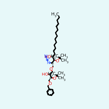 CCCCCCCCCCCCCC[C@@H](O)[C@@H](OC(C)(C)C)[C@H](COC[C@H](O)[C@H](COCc1ccccc1)OC(C)(C)C)N=[N+]=[N-]